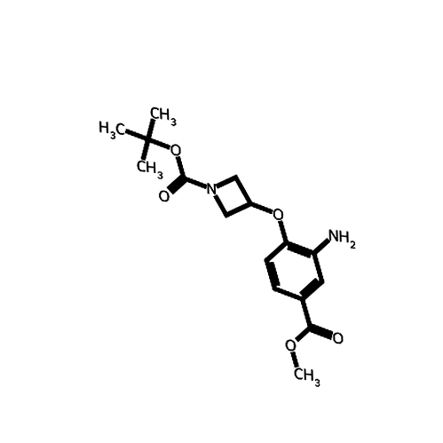 COC(=O)c1ccc(OC2CN(C(=O)OC(C)(C)C)C2)c(N)c1